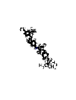 CC(C)(C)OC(=O)N1CCC(F)(CN2C(=O)S/C(=C\c3ccc4c(cnn4Cc4ccc(Cl)cc4C(F)(F)F)c3)C2=O)CC1